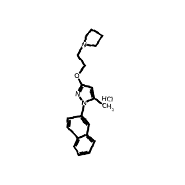 Cc1cc(OCCN2CCCC2)nn1-c1ccc2ccccc2c1.Cl